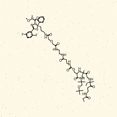 CCC(=O)NCCC(=O)C(C)(CC)NCC(=O)C(C)(CC)NC(COC(=O)NCCC(=O)NCCNC(=O)COCC(=O)NCCC[C@@]1(c2ccccc2)SC(c2cc(F)ccc2F)=NN1C(=O)N(C)OC)C(=O)NC(C)(C)COC(C)(C)C